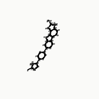 Cc1ncc(-c2ccc(-c3ccc4c(c3)sc3c4ccc4[nH]c(C(C)C)nc43)cc2)[nH]1